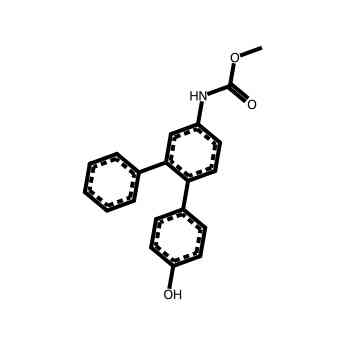 COC(=O)Nc1ccc(-c2ccc(O)cc2)c(-c2ccccc2)c1